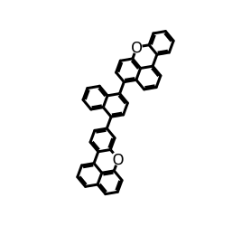 c1ccc2c(c1)Oc1ccc(-c3ccc(-c4ccc5c(c4)Oc4cccc6cccc-5c46)c4ccccc34)c3cccc-2c13